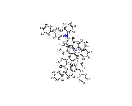 c1ccc(-c2cccc([Si](c3ccccc3)(c3cccc(-c4ccccc4)c3)c3cc(-c4ccccc4)c(-n4c5ccccc5c5cc(-n6c7ccccc7c7cc(-c8ccccc8)ccc76)ccc54)c(-c4ccccc4)c3)c2)cc1